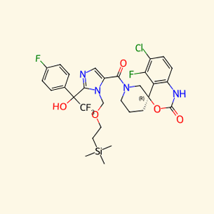 C[Si](C)(C)CCOCn1c(C(=O)N2CCC[C@@]3(C2)OC(=O)Nc2ccc(Cl)c(F)c23)cnc1C(O)(c1ccc(F)cc1)C(F)(F)F